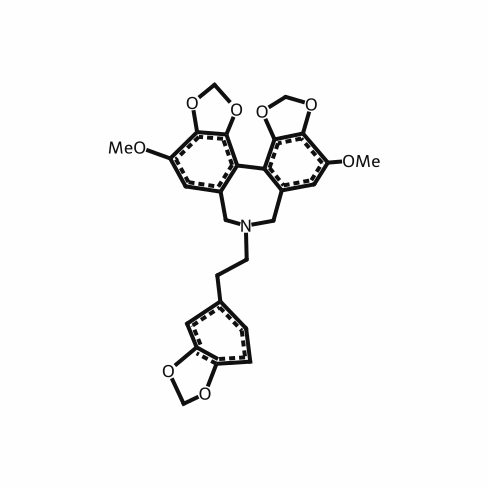 COc1cc2c(c3c1OCO3)-c1c(cc(OC)c3c1OCO3)CN(CCc1ccc3c(c1)OCO3)C2